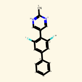 N#Cc1ncc(-c2c(F)cc(-c3ccccc3)cc2F)cn1